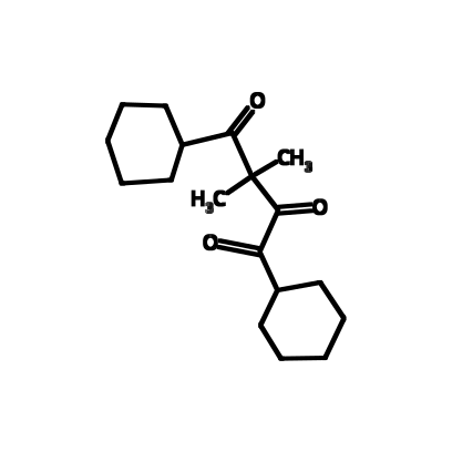 CC(C)(C(=O)C(=O)C1CCCCC1)C(=O)C1CCCCC1